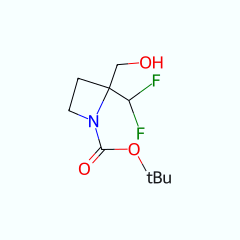 CC(C)(C)OC(=O)N1CCC1(CO)C(F)F